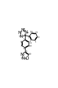 c1ccc(C2(c3ccc(-c4conn4)cc3)N=NN=N2)cc1